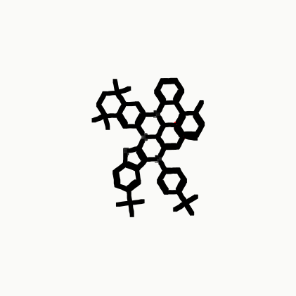 CC1=CC2C3B(C4=C(CC5C(=C4)C(C)(C)CCC5(C)C)N2c2ccccc2-c2ccccc2C)c2sc4ccc(C(C)(C)C)cc4c2N(c2ccc(C(C)(C)C)cc2)C3=C1